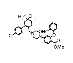 COC(=O)c1ccc(N2CCN(CC3=C(c4ccc(Cl)cc4)CC(C)(C)CC3)CC2)cc1Oc1ccccc1C=O